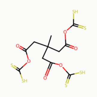 CC(CC(=O)OC(=S)S)(CC(=O)OC(=S)S)CC(=O)OC(=S)S